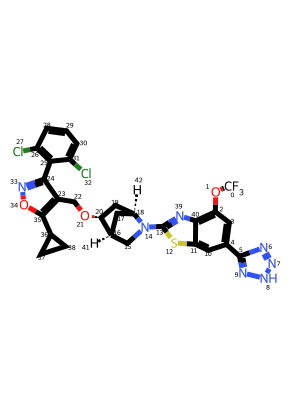 FC(F)(F)Oc1cc(-c2nn[nH]n2)cc2sc(N3C[C@@H]4C[C@H]3C[C@H]4OCc3c(-c4c(Cl)cccc4Cl)noc3C3CC3)nc12